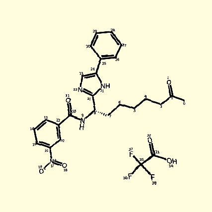 CC(=O)CCCCC[C@H](NC(=O)c1cccc([N+](=O)[O-])c1)c1ncc(-c2ccccc2)[nH]1.O=C(O)C(F)(F)F